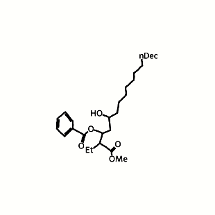 CCCCCCCCCCCCCCCCCC(O)CC(OC(=O)c1ccccc1)C(CC)C(=O)OC